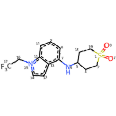 O=S1(=O)CCC(Nc2cccc3c2ccn3CC(F)(F)F)CC1